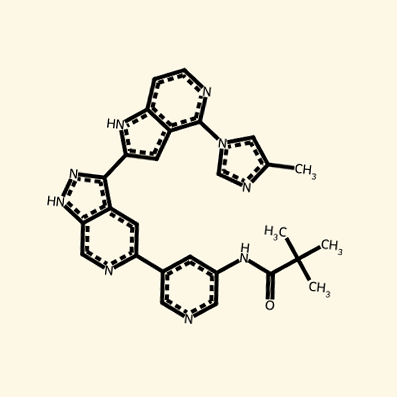 Cc1cn(-c2nccc3[nH]c(-c4n[nH]c5cnc(-c6cncc(NC(=O)C(C)(C)C)c6)cc45)cc23)cn1